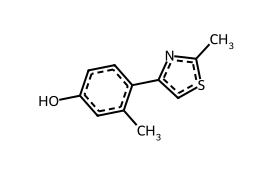 Cc1nc(-c2ccc(O)cc2C)cs1